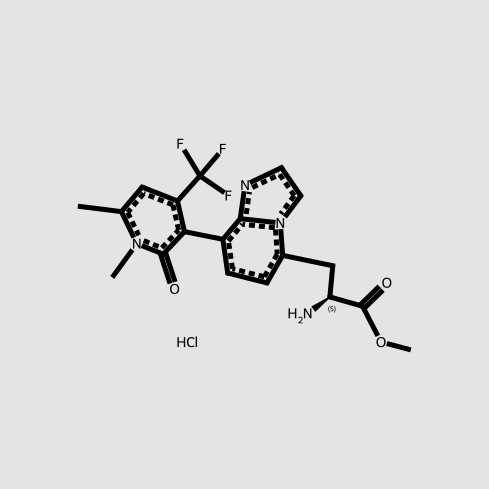 COC(=O)[C@@H](N)Cc1ccc(-c2c(C(F)(F)F)cc(C)n(C)c2=O)c2nccn12.Cl